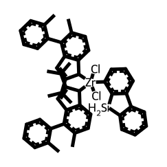 Cc1ccccc1-c1c(C)ccc2c1C=C(C(C)C)[CH]2[Zr]([Cl])([Cl])([c]1cccc2c1[SiH2]c1ccccc1-2)[CH]1C(C(C)C)=Cc2c1ccc(C)c2-c1ccccc1C